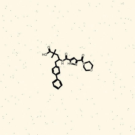 CC(C)(CC(Cc1ccc(-c2ccccc2)cc1)NC(=O)c1cc(C(=O)N2CCOCC2)n[nH]1)C(=O)O